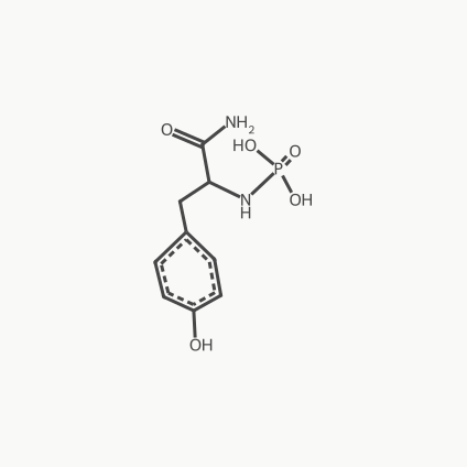 NC(=O)C(Cc1ccc(O)cc1)NP(=O)(O)O